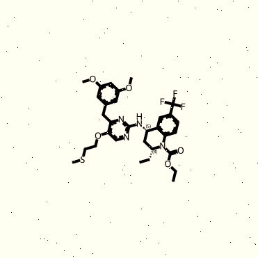 CCOC(=O)N1c2ccc(C(F)(F)F)cc2[C@@H](Nc2ncc(OCCSC)c(Cc3cc(OC)cc(OC)c3)n2)C[C@H]1CC